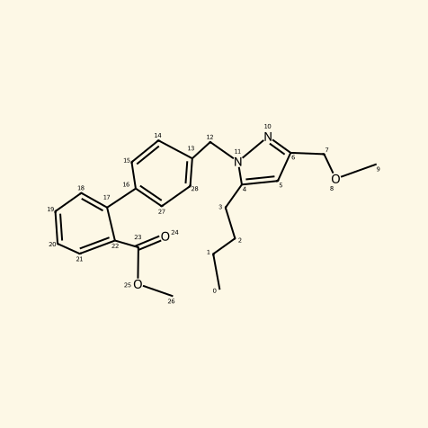 CCCCc1cc(COC)nn1Cc1ccc(-c2ccccc2C(=O)OC)cc1